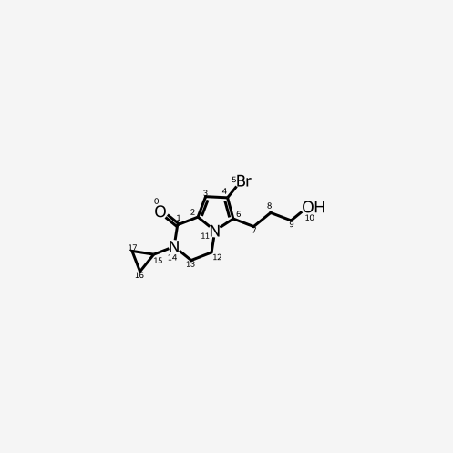 O=C1c2cc(Br)c(CCCO)n2CCN1C1CC1